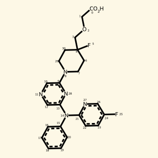 O=C(O)COCC1(F)CCN(c2cncc(N(c3ccccc3)c3ccc(F)cn3)n2)CC1